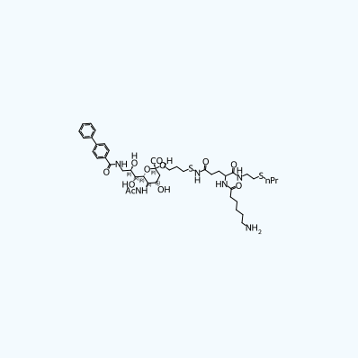 CCCSCCNC(=O)C(CCC(=O)NSCCCO[C@]1(C(=O)O)C[C@H](O)[C@@H](NC(C)=O)[C@H]([C@H](O)[C@H](O)CNC(=O)c2ccc(-c3ccccc3)cc2)O1)NC(=O)CCCCCN